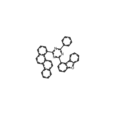 c1ccc(-c2nc(-c3cccc4ccc5c6ccccc6ccc5c34)nc(-c3cccc4oc5ccccc5c34)n2)cc1